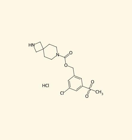 CS(=O)(=O)c1cc(Cl)cc(COC(=O)N2CCC3(CC2)CNC3)c1.Cl